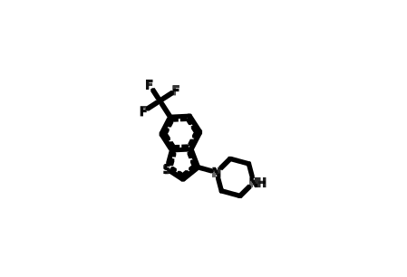 FC(F)(F)c1ccc2c(N3CCNCC3)csc2c1